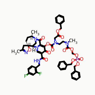 CC1=NO[C@@]2(CC[C@H](C)N3C[C@H]2n2cc(C(=O)NCc4ccc(F)cc4F)c(=O)c(OC(=O)N(CCN(C)C(=O)OCOP(=O)(OCc4ccccc4)OCc4ccccc4)CC(=O)OCc4ccccc4)c2C3=O)C1